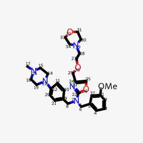 COc1cccc(CN(Cc2ccc(N3CCN(C)CC3)cc2)c2nc(COCCN3CCOCC3)co2)c1